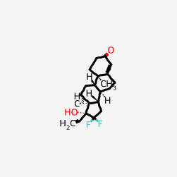 C=C[C@]1(O)C(F)(F)C[C@H]2[C@@H]3CCC4=CC(=O)CC[C@]4(C)[C@H]3CC[C@@]21C